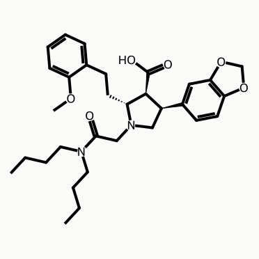 CCCCN(CCCC)C(=O)CN1C[C@H](c2ccc3c(c2)OCO3)[C@H](C(=O)O)[C@H]1CCc1ccccc1OC